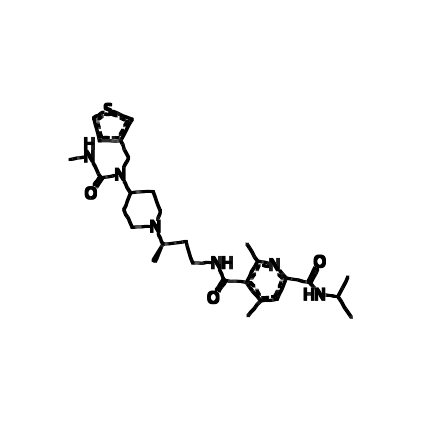 CNC(=O)N(Cc1ccsc1)C1CCN([C@H](C)CCNC(=O)c2c(C)cc(C(=O)NC(C)C)nc2C)CC1